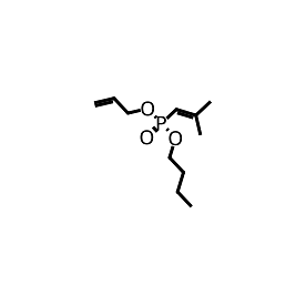 C=CCOP(=O)(C=C(C)C)OCCCC